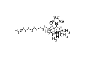 CCCCCCCCCCCC[C@@H]1C(N2C(=O)CCC2=O)CC(C)(C)NC1(C)C